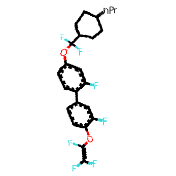 CCCC1CCC(C(F)(F)Oc2ccc(-c3ccc(OC(F)=C(F)F)c(F)c3)c(F)c2)CC1